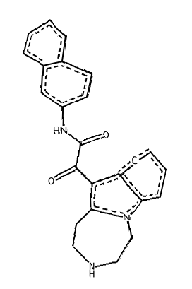 O=C(Nc1ccc2ccccc2c1)C(=O)c1c2n(c3ccccc13)CCNCC2